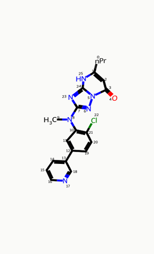 CCCc1cc(=O)n2nc(N(C)c3cc(-c4cccnc4)ccc3Cl)nc2[nH]1